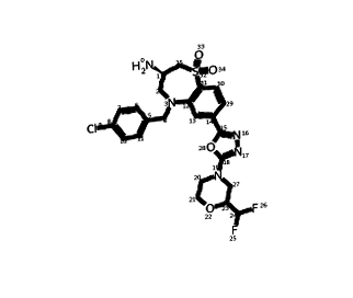 N[C@@H]1CN(Cc2ccc(Cl)cc2)c2cc(-c3nnc(N4CCOC(C(F)F)C4)o3)ccc2S(=O)(=O)C1